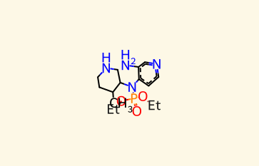 CCOP(=O)(OCC)N(c1ccncc1N)C1CNCCC1C